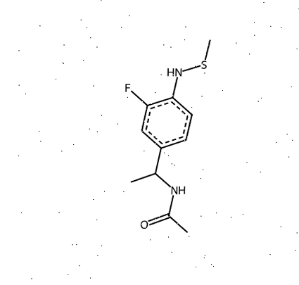 CSNc1ccc(C(C)NC(C)=O)cc1F